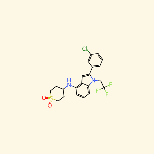 O=S1(=O)CCC(Nc2cccc3c2cc(-c2cccc(Cl)c2)n3CC(F)(F)F)CC1